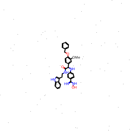 COc1cc(C(Nc2ccc(C(=N)NO)cc2)C(=O)NCCc2c[nH]c3ccccc23)ccc1OCc1ccccc1